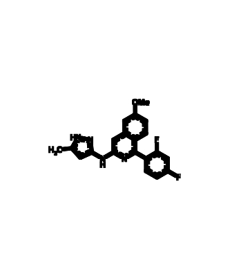 COc1ccc2c(-c3ccc(F)cc3F)nc(Nc3cc(C)[nH]n3)cc2c1